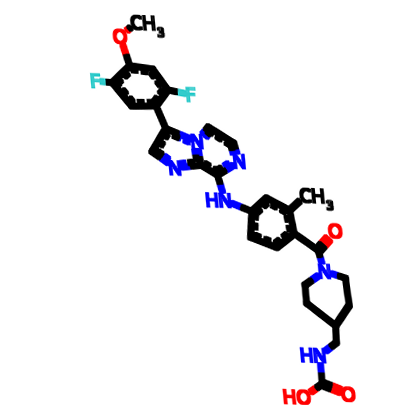 COc1cc(F)c(-c2cnc3c(Nc4ccc(C(=O)N5CCC(CNC(=O)O)CC5)c(C)c4)nccn23)cc1F